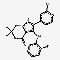 CC1(C)Cc2[nH]c(-c3ccnc(N)c3)c(Nc3ccccc3F)c2C(=O)N1